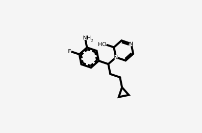 Nc1cc(C(CCC2CC2)N2C=CN=CC2O)ccc1F